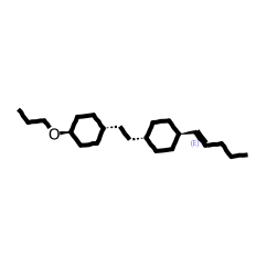 CCC/C=C/[C@H]1CC[C@H](CC[C@H]2CC[C@H](OCCC)CC2)CC1